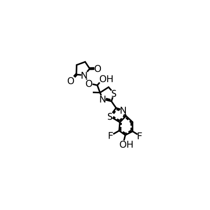 CC1(C(O)ON2C(=O)CCC2=O)CSC(c2nc3cc(F)c(O)c(F)c3s2)=N1